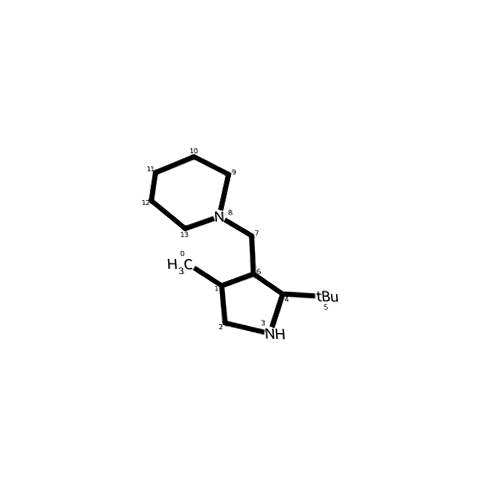 CC1CNC(C(C)(C)C)C1CN1CCCCC1